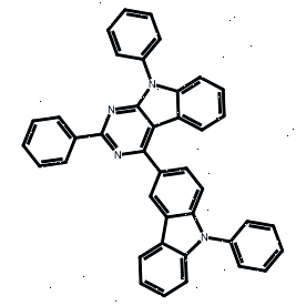 c1ccc(-c2nc(-c3ccc4c(c3)c3ccccc3n4-c3ccccc3)c3c4ccccc4n(-c4ccccc4)c3n2)cc1